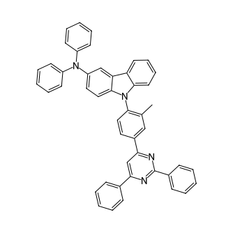 Cc1cc(-c2cc(-c3ccccc3)nc(-c3ccccc3)n2)ccc1-n1c2ccccc2c2cc(N(c3ccccc3)c3ccccc3)ccc21